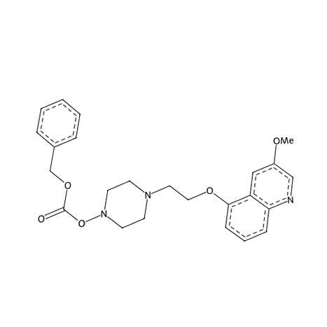 COc1cnc2cccc(OCCN3CCN(OC(=O)OCc4ccccc4)CC3)c2c1